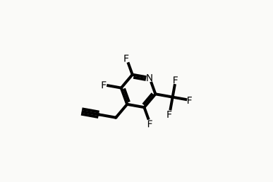 C#CCc1c(F)c(F)nc(C(F)(F)F)c1F